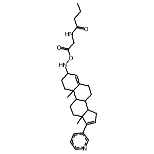 CCCC(=O)NCC(=O)ONC1C=C2CCC3C(CCC4(C)C(c5cccnc5)=CCC34)C2(C)CC1